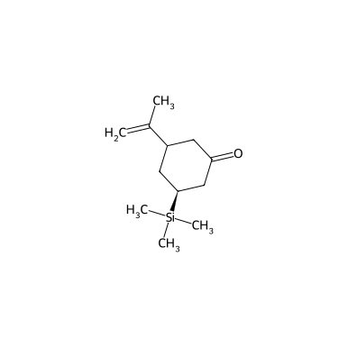 C=C(C)C1CC(=O)C[C@@H]([Si](C)(C)C)C1